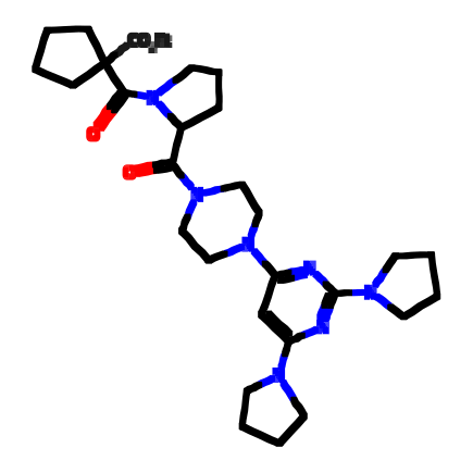 CCOC(=O)C1(C(=O)N2CCCC2C(=O)N2CCN(c3cc(N4CCCC4)nc(N4CCCC4)n3)CC2)CCCC1